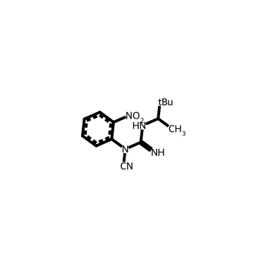 CC(NC(=N)N(C#N)c1ccccc1[N+](=O)[O-])C(C)(C)C